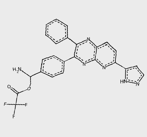 NC(OC(=O)C(F)(F)F)c1ccc(-c2nc3nc(-c4ccn[nH]4)ccc3nc2-c2ccccc2)cc1